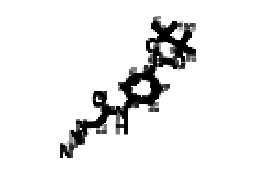 CC1(C)OB(c2ccc(NC(=O)CN=[N+]=[N-])cc2)OC1(C)C